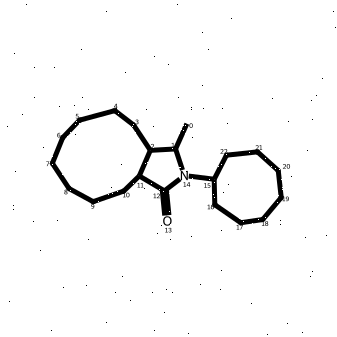 CC1C2CCCCCCCCC2C(=O)N1C1CCCCCCC1